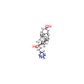 C[C@]12CC[C@H]3[C@@H](CC=C4C[C@@H](O)CC[C@@]43C)[C@@H]1CC[C@@H]2[C@](C)(O)CCc1cncnc1